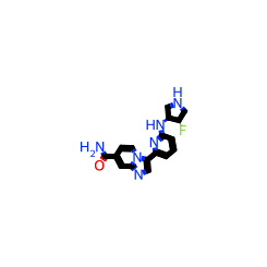 NC(=O)c1ccn2c(-c3cccc(N[C@H]4CNC[C@@H]4F)n3)cnc2c1